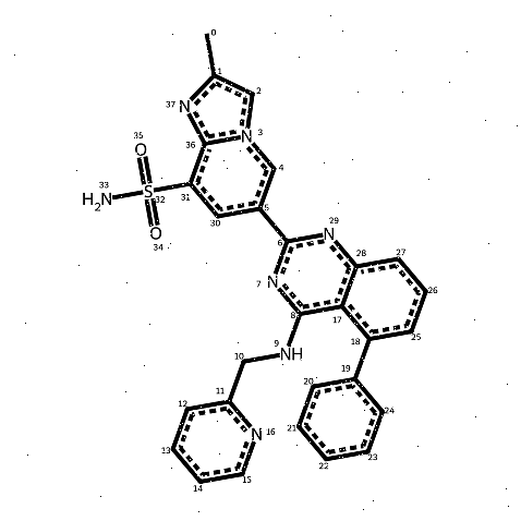 Cc1cn2cc(-c3nc(NCc4ccccn4)c4c(-c5ccccc5)cccc4n3)cc(S(N)(=O)=O)c2n1